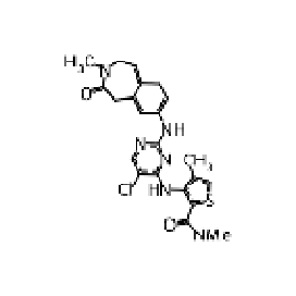 CNC(=O)c1scc(C)c1Nc1nc(NC2=CCC3=CCN(C)C(=O)CC3=C2)ncc1Cl